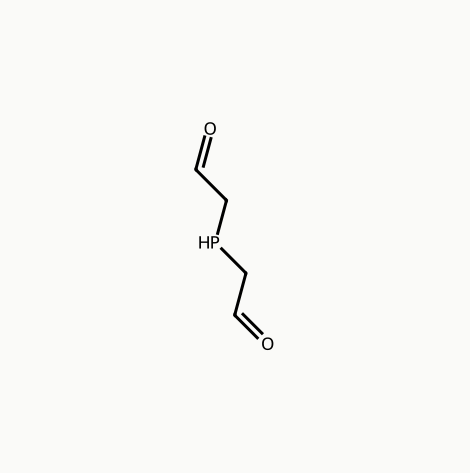 O=CCPCC=O